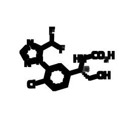 O=C(O)N[C@H](CO)c1ccc(Cl)c(-n2ncnc2C(F)F)c1